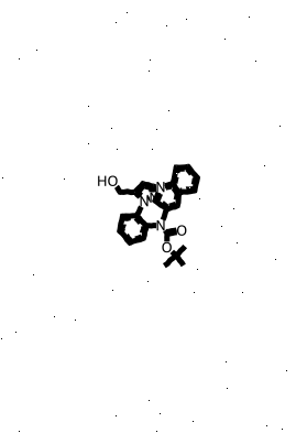 CC(C)(C)OC(=O)N(c1cnc2ccccc2c1)c1ccccc1-n1nccc1CO